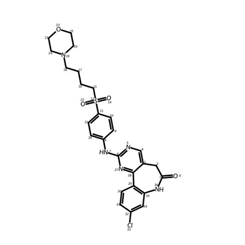 O=C1Cc2cnc(Nc3ccc(S(=O)(=O)CCCCN4CCOCC4)cc3)nc2-c2ccc(Cl)cc2N1